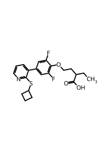 CCC(CCOc1c(F)cc(-c2cccnc2SC2CCC2)cc1F)C(=O)O